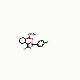 COC(=O)C1CCCCC1c1nc(-c2ccc(F)cc2)sc1Br